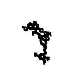 COc1ccc2ncc(Cl)c(C(F)CCC3(CC(=O)O)CCN(CCCc4cc(F)cc(F)c4F)CC3)c2c1